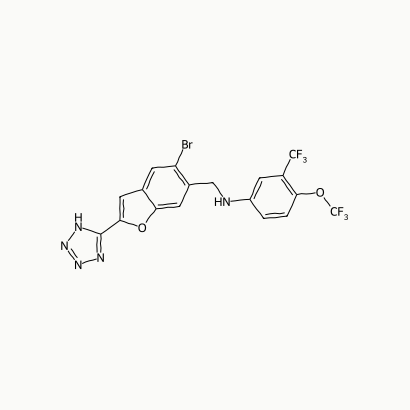 FC(F)(F)Oc1ccc(NCc2cc3oc(-c4nnn[nH]4)cc3cc2Br)cc1C(F)(F)F